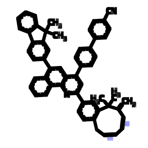 C=C1/C=C\C=C/Cc2ccc(-c3cc(-c4ccc(-c5ccc(C#N)cc5)cc4)c4cc(-c5ccc6c(c5)C(C)(C)c5ccccc5-6)c5ccccc5c4n3)cc2C1(C)C